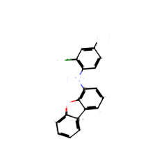 Cc1ccc(Nc2cccc3c2oc2ccccc23)c(Cl)c1